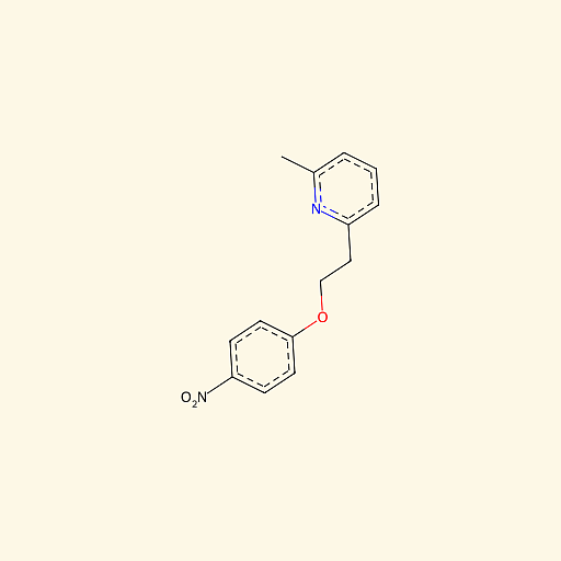 Cc1cccc(CCOc2ccc([N+](=O)[O-])cc2)n1